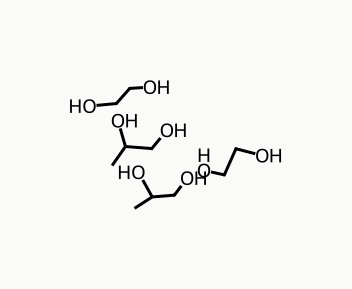 CC(O)CO.CC(O)CO.OCCO.OCCO